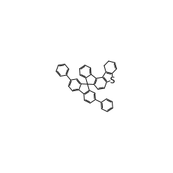 C1=Cc2sc3ccc4c(c3c2CC1)-c1ccccc1C41c2cc(-c3ccccc3)ccc2-c2ccc(-c3ccccc3)cc21